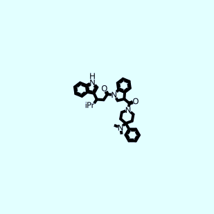 CC(C)C(CC(=O)N1CC(C(=O)N2CCC(c3ccccc3)(N(C)C)CC2)c2ccccc21)c1c[nH]c2ccccc12